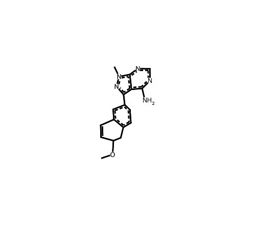 COC1C=Cc2cc(-c3nn(C)c4ncnc(N)c34)ccc2C1